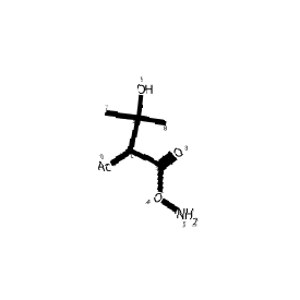 CC(=O)C(C(=O)ON)C(C)(C)O